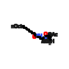 CCCCCCCCC=CCCCCCCCC(=O)NCCCC(CNC(=O)C(OC(C)=O)C(C)(C)COC(C)=O)C(=O)O